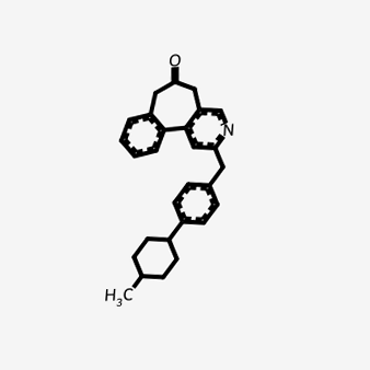 CC1CCC(c2ccc(Cc3cc4c(cn3)CC(=O)Cc3ccccc3-4)cc2)CC1